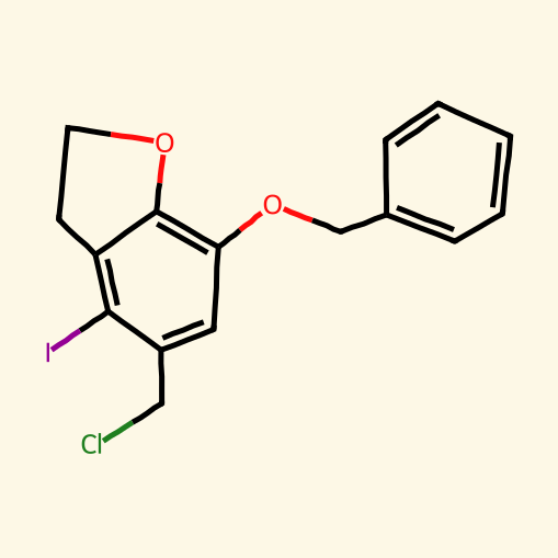 ClCc1cc(OCc2ccccc2)c2c(c1I)CCO2